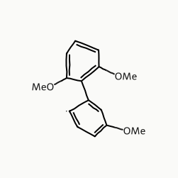 COc1cc[c]c(-c2c(OC)cccc2OC)c1